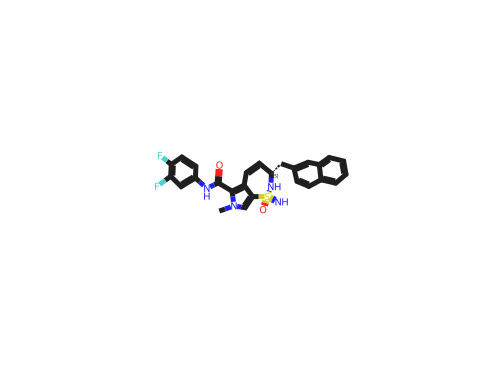 Cn1cc2c(c1C(=O)Nc1ccc(F)c(F)c1)C=C[C@H](Cc1ccc3ccccc3c1)NS2(=N)=O